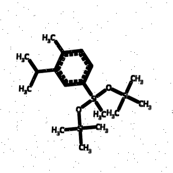 Cc1ccc([Si](C)(O[Si](C)(C)C)O[Si](C)(C)C)cc1C(C)C